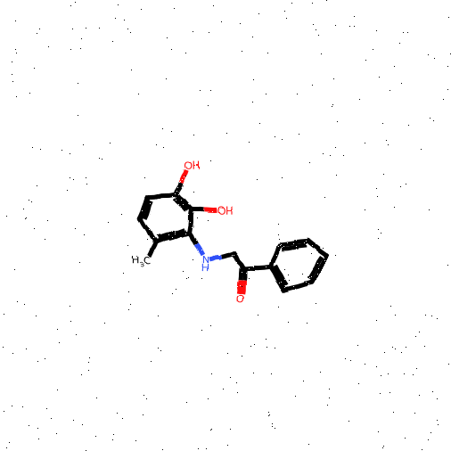 Cc1ccc(O)c(O)c1NCC(=O)c1ccccc1